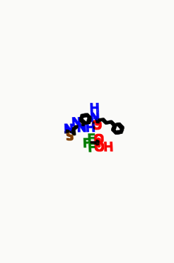 O=C(CCCc1ccccc1)Nc1ccc2nc(-c3cscn3)[nH]c2c1.O=C(O)C(F)(F)F